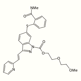 CNC(=O)c1ccccc1Sc1ccc2c(/C=C/c3ccccn3)nn(C(=O)OCCOCCOC)c2c1